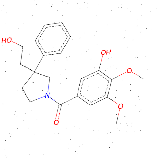 COc1cc(C(=O)N2CCC(CCO)(c3ccccc3)C2)cc(O)c1OC